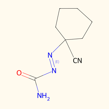 N#CC1(/N=N/C(N)=O)CCCCC1